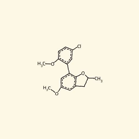 COc1cc2c(c(-c3cc(Cl)ccc3OC)c1)OC(C)C2